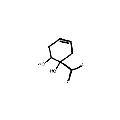 OC1CC=CCC1(O)C(F)F